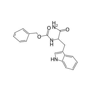 NC(=O)C(Cc1c[nH]c2ccccc12)NC(=O)OCc1ccccc1